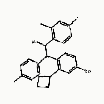 CCC(c1ccc(F)cc1C)C(c1ccc(C)cc1)c1ccc(N=O)cc1C1CCC1